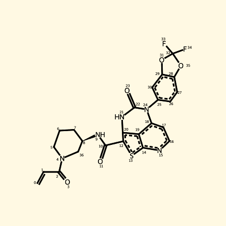 C=CC(=O)N1CCC[C@@H](NC(=O)c2sc3nccc4c3c2NC(=O)N4c2ccc3c(c2)OC(F)(F)O3)C1